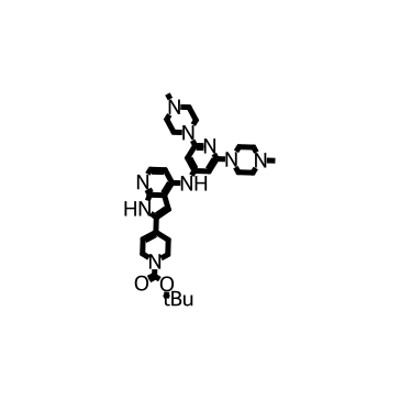 CN1CCN(c2cc(Nc3ccnc4[nH]c(C5=CCN(C(=O)OC(C)(C)C)CC5)cc34)cc(N3CCN(C)CC3)n2)CC1